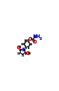 NC(=O)Oc1ccc(N2C(=O)CCC2=O)cc1